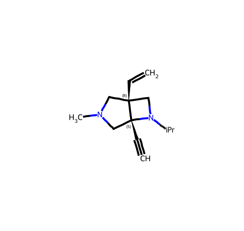 C#C[C@@]12CN(C)C[C@]1(C=C)CN2C(C)C